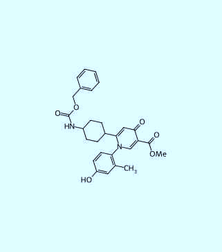 COC(=O)c1cn(-c2ccc(O)cc2C)c(C2CCC(NC(=O)OCc3ccccc3)CC2)cc1=O